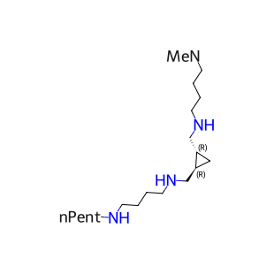 CCCCCNCCCCNC[C@@H]1C[C@H]1CNCCCCNC